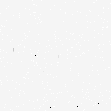 O=C(CCF)N1CC2CNCC(C2)C1